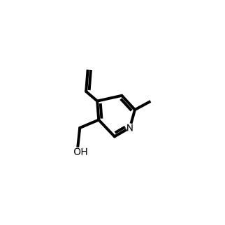 C=Cc1cc(C)ncc1CO